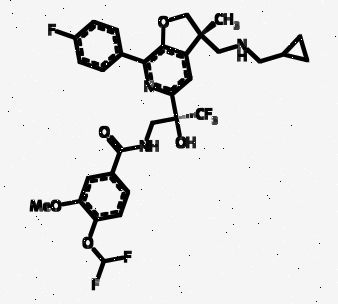 COc1cc(C(=O)NC[C@](O)(c2cc3c(c(-c4ccc(F)cc4)n2)OC[C@]3(C)CNCC2CC2)C(F)(F)F)ccc1OC(F)F